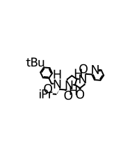 CC(C)C[C@H](NC(=O)c1ccc(C(C)(C)C)cc1)C(=O)N1CC[C@@H]2[C@H]1C(=O)CN2C(=O)c1ccccn1